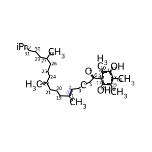 C/C(=C\CCCC(=O)c1c(C)c(O)c(C)c(C)c1O)CCCC(C)CCCC(C)CCCC(C)C